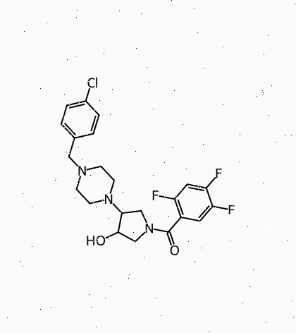 O=C(c1cc(F)c(F)cc1F)N1CC(O)C(N2CCN(Cc3ccc(Cl)cc3)CC2)C1